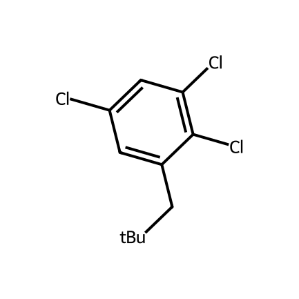 CC(C)(C)Cc1cc(Cl)cc(Cl)c1Cl